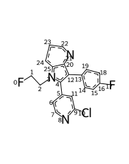 FCCn1c(-c2ccnc(Cl)c2)c(-c2ccc(F)cc2)c2ncccc21